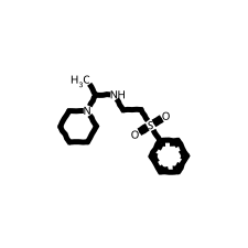 CC(NCCS(=O)(=O)c1ccccc1)N1CCCCC1